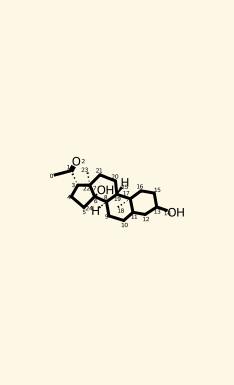 CC(=O)[C@H]1CC[C@]2(O)[C@@H]3CCC4CC(O)CC[C@]4(C)[C@H]3CC[C@]12C